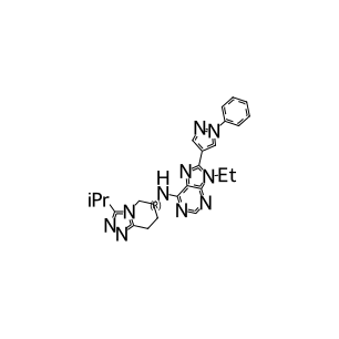 CCn1c(-c2cnn(-c3ccccc3)c2)nc2c(N[C@@H]3CCc4nnc(C(C)C)n4C3)ncnc21